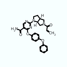 C=CC(=O)N1C[C@@H]2CCN(c3ncc(C(N)=O)c(Oc4ccc(Oc5ccccc5)cc4)n3)[C@@H]2C1